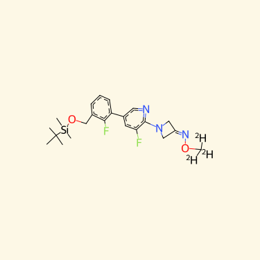 [2H]C([2H])([2H])ON=C1CN(c2ncc(-c3cccc(CO[Si](C)(C)C(C)(C)C)c3F)cc2F)C1